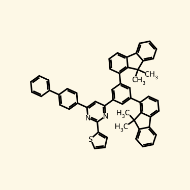 CC1(C)c2ccccc2-c2cccc(-c3cc(-c4cc(-c5ccc(-c6ccccc6)cc5)nc(-c5cccs5)n4)cc(-c4cccc5c4C(C)(C)c4ccccc4-5)c3)c21